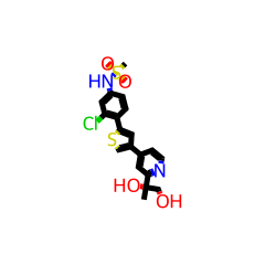 CC(O)(CO)c1cc(-c2csc(-c3ccc(NS(C)(=O)=O)cc3Cl)c2)ccn1